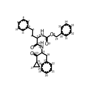 O=C(NC(CCc1ccccc1)C(=O)NC(Cc1ccccc1)C(=O)C1CC1)OCc1ccccc1